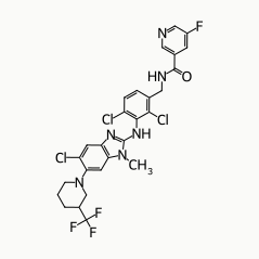 Cn1c(Nc2c(Cl)ccc(CNC(=O)c3cncc(F)c3)c2Cl)nc2cc(Cl)c(N3CCCC(C(F)(F)F)C3)cc21